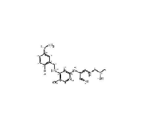 CC(O)CN/C=C(\C=N)Nc1ncc(Cl)c(NCc2cc(SN)ccc2F)n1